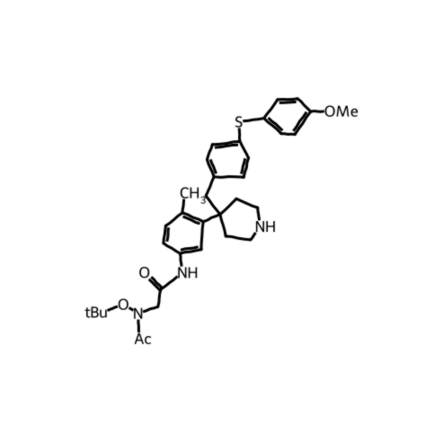 COc1ccc(Sc2ccc(CC3(c4cc(NC(=O)CN(OC(C)(C)C)C(C)=O)ccc4C)CCNCC3)cc2)cc1